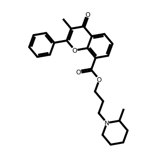 Cc1c(-c2ccccc2)oc2c(C(=O)OCCCN3CCCCC3C)cccc2c1=O